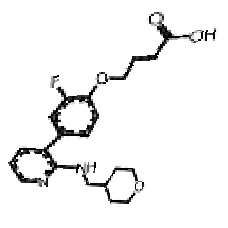 O=C(O)CCCOc1ccc(-c2cccnc2NCC2CCOCC2)cc1F